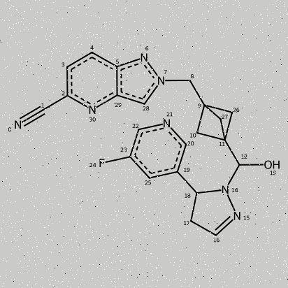 N#Cc1ccc2nn(CC34CC(C(O)N5N=CCC5c5cncc(F)c5)(C3)C4)cc2n1